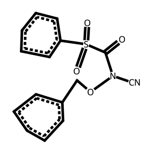 N#CN(OCc1ccccc1)C(=O)S(=O)(=O)c1ccccc1